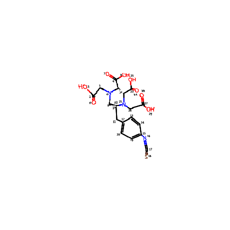 O=C(O)CN(CC(=O)O)C[C@H](Cc1ccc(N=C=S)cc1)N(CC(=O)O)CC(=O)O